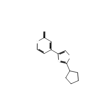 O=c1cc(-c2csc(C3CCCC3)n2)cc[nH]1